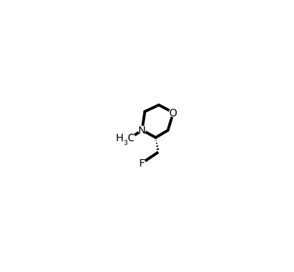 CN1CCOC[C@@H]1CF